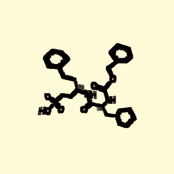 O=C(N[C@@H](Cc1ccccc1)C(=O)N[C@@H](CCc1ccccc1)CCS(=O)(=O)O)OCc1ccccc1